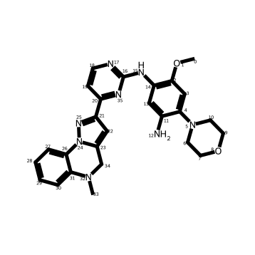 COc1cc(N2CCOCC2)c(N)cc1Nc1nccc(-c2cc3n(n2)-c2ccccc2N(C)C3)n1